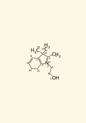 CC1=[N+](CCO)C2=C(C=CCC2)C1(C)C